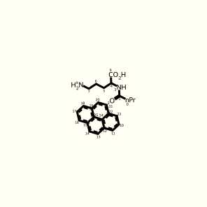 CCCC(=O)NC(CCCN)C(=O)O.c1cc2ccc3cccc4ccc(c1)c2c34